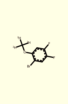 [2H]C([2H])([2H])Oc1cc(F)c(F)cc1Br